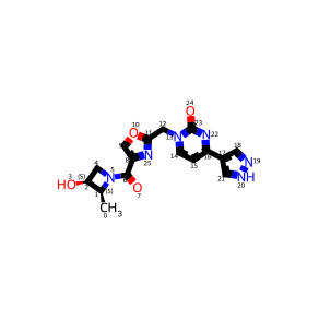 C[C@H]1[C@@H](O)CN1C(=O)c1coc(Cn2ccc(-c3cn[nH]c3)nc2=O)n1